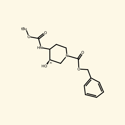 CC(C)(C)OC(=O)NC1CCN(C(=O)OCc2ccccc2)C[C@H]1O